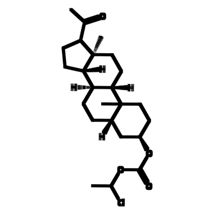 CC(=O)C1CC[C@H]2[C@@H]3CC[C@H]4C[C@H](OC(=O)OC(C)Cl)CCC4(C)[C@H]3CC[C@]12C